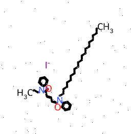 CCCCCCCCCCCCCCCCCCCCCCN1C(=CC=Cc2oc3ccccc3[n+]2CCC)Oc2ccccc21.[I-]